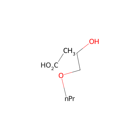 CC(=O)O.CCCOCCO